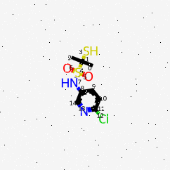 CC(C)(S)S(=O)(=O)Nc1ccc(Cl)nc1